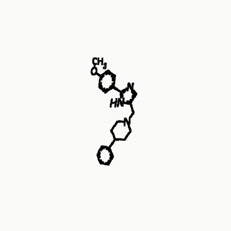 COc1ccc(-c2ncc(CN3CCC(c4ccccc4)CC3)[nH]2)cc1